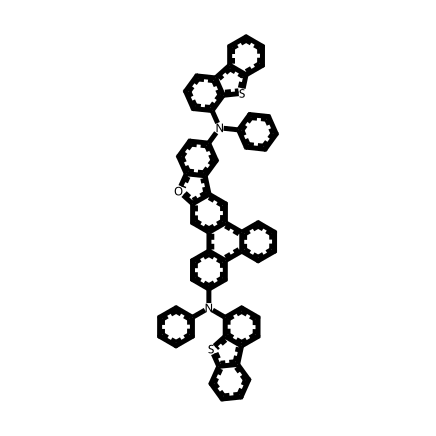 c1ccc(N(c2ccc3oc4cc5c6ccc(N(c7ccccc7)c7cccc8c7sc7ccccc78)cc6c6ccccc6c5cc4c3c2)c2cccc3c2sc2ccccc23)cc1